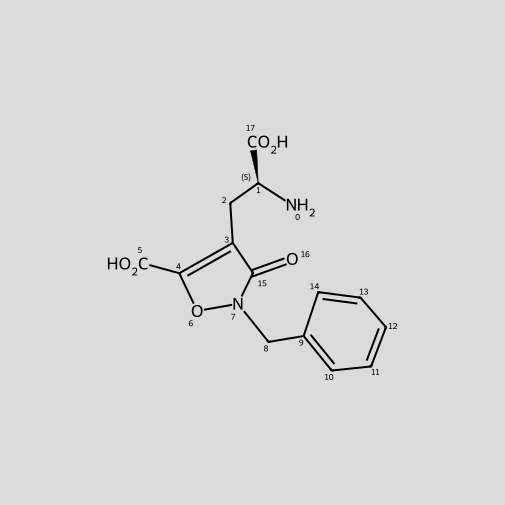 N[C@@H](Cc1c(C(=O)O)on(Cc2ccccc2)c1=O)C(=O)O